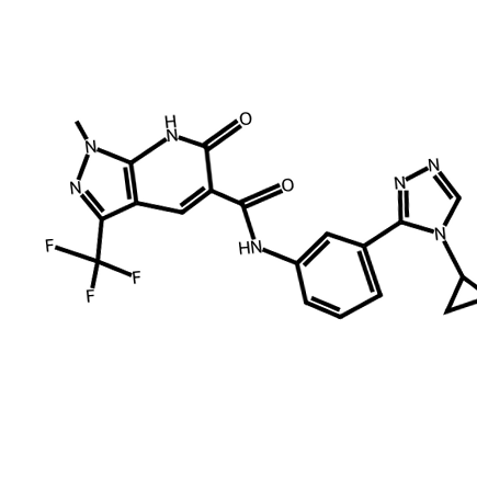 Cn1nc(C(F)(F)F)c2cc(C(=O)Nc3cccc(-c4nncn4C4CC4)c3)c(=O)[nH]c21